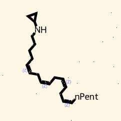 CCCCC/C=C\C/C=C\C/C=C\C/C=C\CCCCNC1CC1